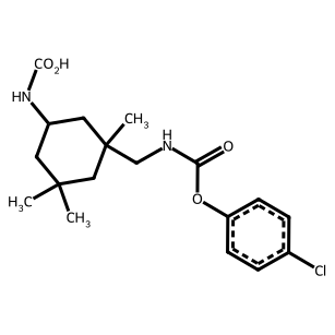 CC1(C)CC(NC(=O)O)CC(C)(CNC(=O)Oc2ccc(Cl)cc2)C1